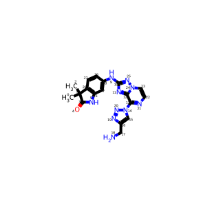 CC1(C)C(=O)Nc2cc(Nc3nc4c(-n5cc(CN)nn5)nccn4n3)ccc21